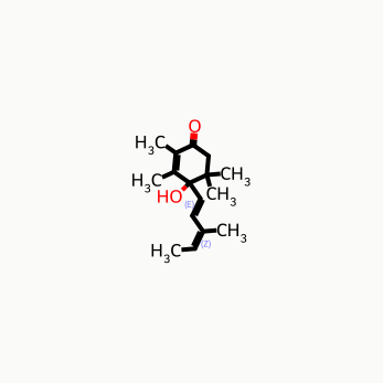 C/C=C(C)\C=C\C1(O)C(C)=C(C)C(=O)CC1(C)C